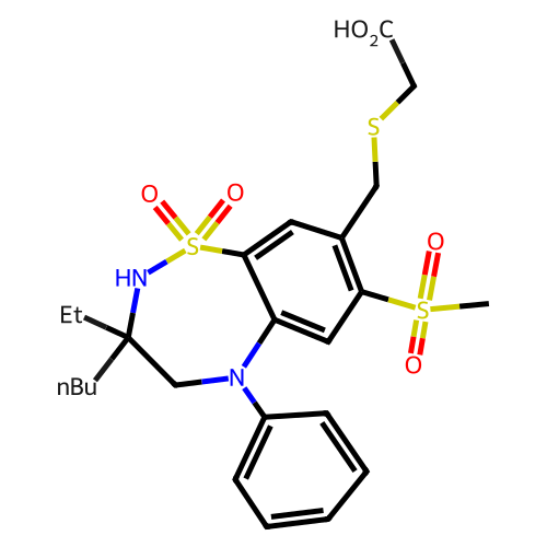 CCCCC1(CC)CN(c2ccccc2)c2cc(S(C)(=O)=O)c(CSCC(=O)O)cc2S(=O)(=O)N1